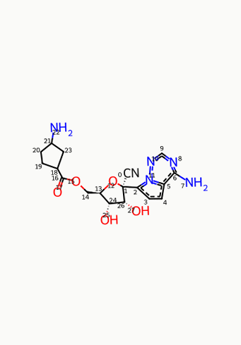 N#C[C@@]1(c2ccc3c(N)ncnn23)O[C@H](COC(=O)C2CCC(N)C2)[C@@H](O)[C@H]1O